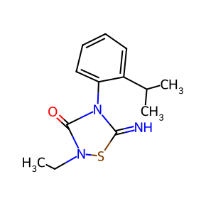 CCn1sc(=N)n(-c2ccccc2C(C)C)c1=O